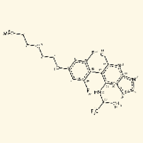 COCCOCCOc1cc(F)c(-c2c(Cl)nc3ncnn3c2NC(C)C(F)(F)F)c(F)c1